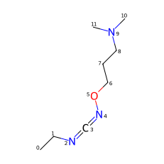 CCN=C=NOCCCN(C)C